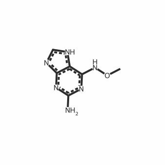 CONc1nc(N)nc2nc[nH]c12